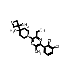 Cc1nc(N2CCC(C)(C3(N)COC3)CC2)c(CO)nc1-c1cccc(Cl)c1Cl